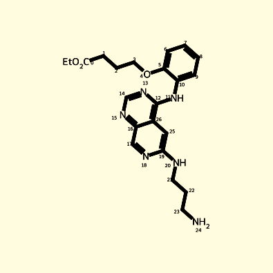 CCOC(=O)CCCOc1ccccc1Nc1ncnc2cnc(NCCCN)cc12